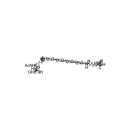 CC(=O)N[C@@H](CCCCn1cc(COCCOCCOCCOCCOCCOCCOCCOCCNC(=O)CCCCC[C@H]2NC(=O)N[C@H]2C)nn1)C(=O)N[C@H](C=O)CC(C)C